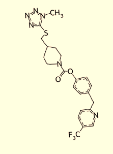 Cn1nnnc1SCC1CCN(C(=O)Oc2ccc(Cc3ccc(C(F)(F)F)cn3)cc2)CC1